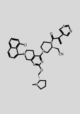 C=C(C(=O)N1CCN(c2nc(OC[C@@H]3CCCN3C)nc3c2CCN(c2cccc4cccc(Cl)c24)C3)C[C@@H]1CC#N)c1cncnc1